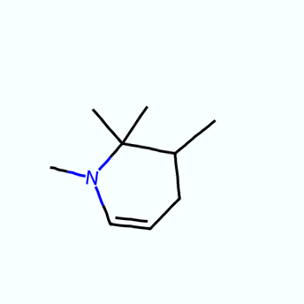 CC1CC=CN(C)C1(C)C